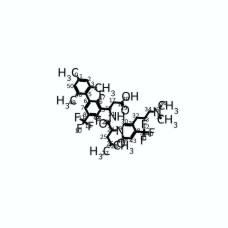 Cc1cc(C)c(-c2cc(C(F)(F)F)c(F)c(C(CC(=O)O)NC(=O)C(CC(C)C)n3cc(CCCN(C)C)c(C(F)(F)F)cc3=O)c2F)c(C)c1